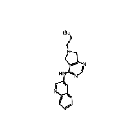 CC(C)(C)CCN1Cc2ncnc(Nc3cnc4ccccc4c3)c2C1